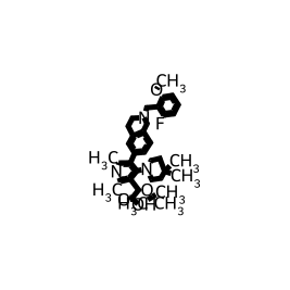 COc1cccc(F)c1CN1CCc2cc(-c3c(C)nc(C)c([C@H](OC(C)(C)C)C(=O)O)c3N3CCC(C)(C)CC3)ccc2C1